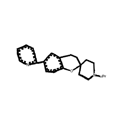 CCCN1CCC2(CCc3cc(-c4ccccn4)ccc3O2)CC1